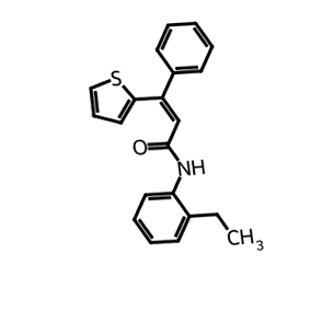 CCc1ccccc1NC(=O)C=C(c1ccccc1)c1cccs1